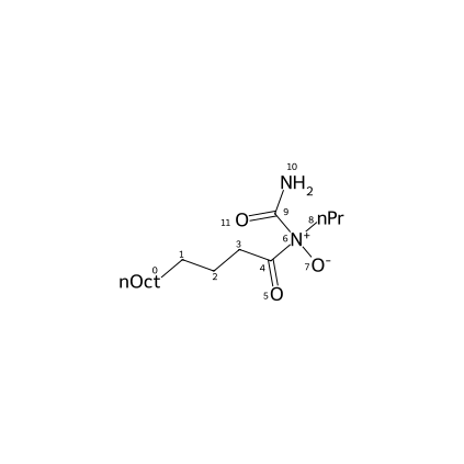 CCCCCCCCCCCC(=O)[N+]([O-])(CCC)C(N)=O